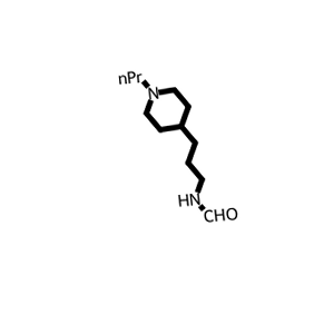 CCCN1CCC(CCCNC=O)CC1